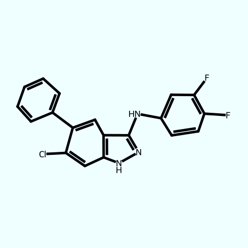 Fc1ccc(Nc2n[nH]c3cc(Cl)c(-c4ccccc4)cc23)cc1F